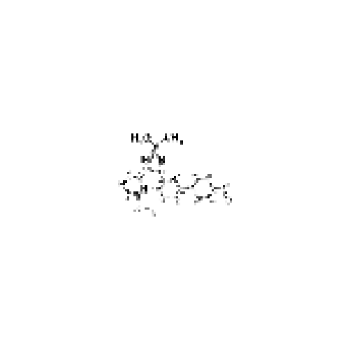 Cc1cccc(-c2[nH]c(C(C)C)nc2-c2cccc(-c3ccc(C=O)cc3)c2)n1